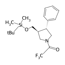 CC(C)(C)[Si](C)(C)OC[C@@H]1CN(C(=O)C(F)(F)F)C[C@H]1c1ccccc1